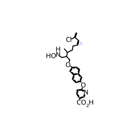 C=C(Cl)/C=C\CCC(C)C(CNO)COc1ccc2cc(Oc3ccc(C(=O)O)cn3)ccc2c1